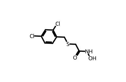 O=C(CSCc1ccc(Cl)cc1Cl)NO